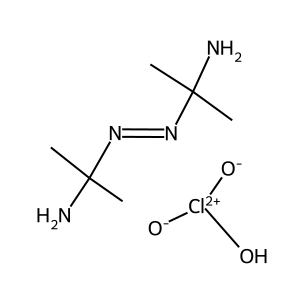 CC(C)(N)N=NC(C)(C)N.[O-][Cl+2]([O-])O